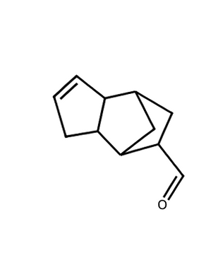 O=CC1CC2CC1C1CC=CC21